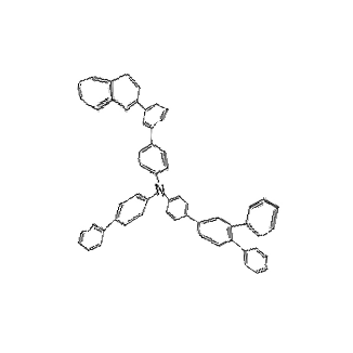 c1ccc(-c2ccc(N(c3ccc(-c4cccc(-c5ccc6ccccc6c5)c4)cc3)c3ccc(-c4ccc(-c5ccccc5)c(-c5ccccc5)c4)cc3)cc2)cc1